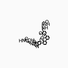 CNC(=O)C[C@H](O)CNCc1cnc2cc(-c3cccc(-c4cccc(-c5ccc(CNC[C@H]6CCC(=O)N6)c(OC)n5)c4Cl)c3Cl)ccn2c1=O